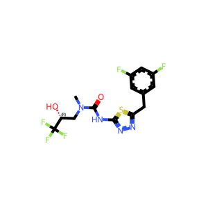 CN(C[C@@H](O)C(F)(F)F)C(=O)Nc1nnc(Cc2cc(F)cc(F)c2)s1